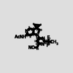 CC(=O)Nc1cc2c(cn1)C1(CC1)CN2c1cc(CC#N)nc(C(C)(F)F)n1